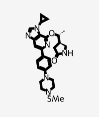 CSN1CCN(c2ccc(-c3cc4ncn(C5CC5)c4c(O[C@H](C)[C@H]4CNC(=O)C4)n3)cc2)CC1